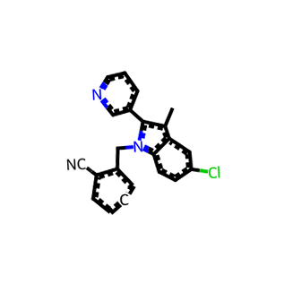 Cc1c(-c2cccnc2)n(Cc2ccccc2C#N)c2ccc(Cl)cc12